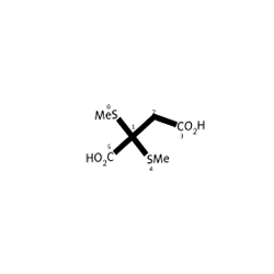 CSC(CC(=O)O)(SC)C(=O)O